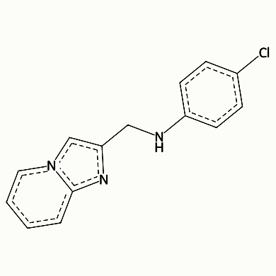 Clc1ccc(NCc2cn3ccccc3n2)cc1